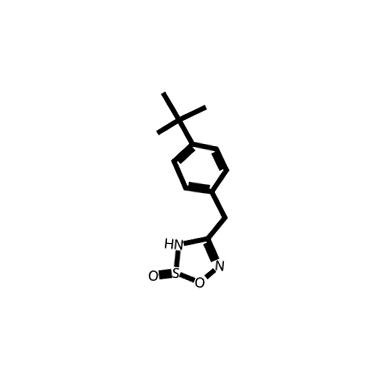 CC(C)(C)c1ccc(CC2=NOS(=O)N2)cc1